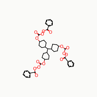 O=C(OOC(=O)c1ccccc1)OC1CCC(C(C2CCC(OC(=O)OOC(=O)c3ccccc3)CC2)C2CCC(OC(=O)OOC(=O)c3ccccc3)CC2)CC1